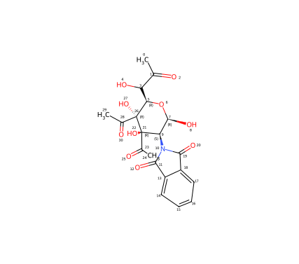 CC(=O)C(O)[C@H]1O[C@@H](O)[C@@H](N2C(=O)c3ccccc3C2=O)[C@](O)(C(C)=O)[C@@]1(O)C(C)=O